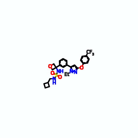 CCn1nc(Oc2ccc(C(F)(F)F)cc2)cc1-c1cccc(C2(NS(=O)(=O)NCC3CCC3)COC2)c1